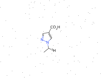 [2H]C(C)n1cc(C(=O)O)cn1